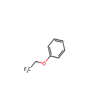 FC(F)(F)COc1cc[c]cc1